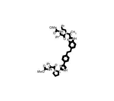 COC(=O)N[C@H](C(=O)N(CCC(C)C)[C@@H](C)c1nc2cc(CCc3ccc(-c4c[nH]c([C@@H]5CCCN5C(=O)[C@@H](NC(=O)OC)C(C)C)n4)cc3)ccc2[nH]1)C(C)C